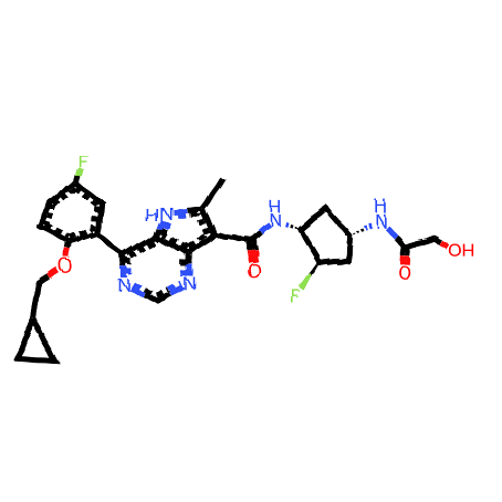 Cc1[nH]c2c(-c3cc(F)ccc3OCC3CC3)ncnc2c1C(=O)N[C@@H]1C[C@H](NC(=O)CO)C[C@H]1F